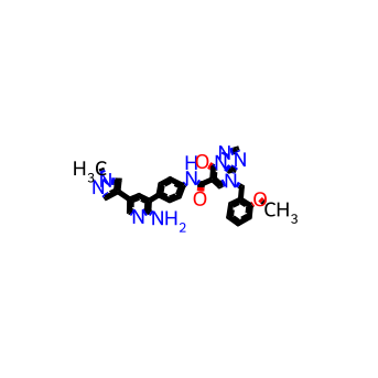 COc1ccccc1Cn1cc(C(=O)Nc2ccc(-c3cc(-c4cnn(C)c4)cnc3N)cc2)c(=O)n2ncnc12